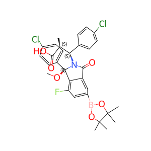 CO[C@]1(c2ccc(Cl)cc2)c2c(F)cc(B3OC(C)(C)C(C)(C)O3)cc2C(=O)N1[C@H](c1ccc(Cl)cc1)[C@H](C)C(=O)O